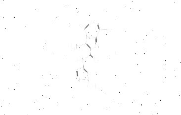 Cn1cc(NC(=O)c2nc3c(Br)cccn3c2N)cn1